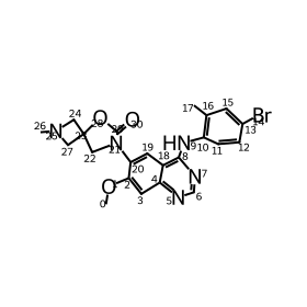 COc1cc2ncnc(Nc3ccc(Br)cc3C)c2cc1N1CC2(CN(C)C2)OC1=O